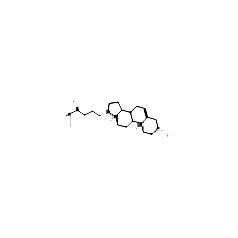 C[C@]1(O)CC[C@@]2(C)C(=CCC3C2CC[C@@]2(C)C3CC[C@@H]2CCCC(=O)C(F)(F)F)C1